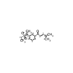 CN(C)C=CC(=O)c1cccc(N(C)S(=O)(=O)CC(F)(F)F)c1